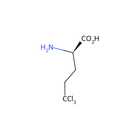 N[C@H](CCC(Cl)(Cl)Cl)C(=O)O